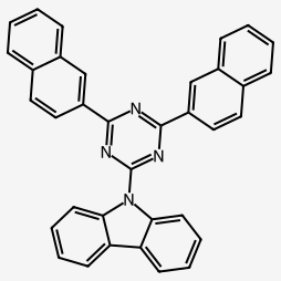 c1ccc2cc(-c3nc(-c4ccc5ccccc5c4)nc(-n4c5ccccc5c5ccccc54)n3)ccc2c1